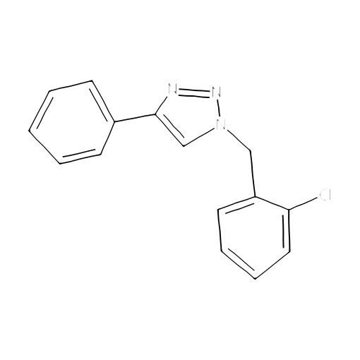 Clc1ccccc1Cn1cc(-c2ccccc2)nn1